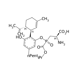 C=C(C)[C@@H]1CCC(C)=C[C@H]1c1c(O)cc(CCCCC)cc1OP(=O)(C[C@H](N)C(=O)O)C(=O)OC(C)C